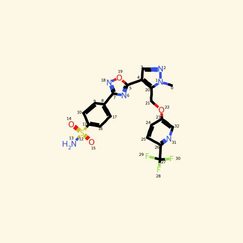 Cn1ncc(-c2nc(-c3ccc(S(N)(=O)=O)cc3)no2)c1COc1ccc(C(F)(F)F)nc1